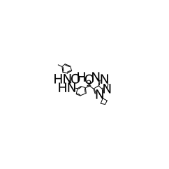 Cc1cccc(NC(=O)Nc2cccc(C(=O)c3cn(C4CCC4)c4ncnc(N)c34)c2)c1